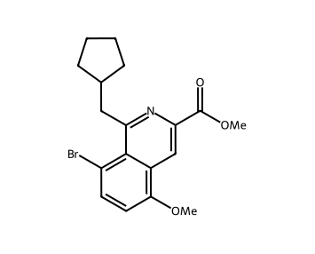 COC(=O)c1cc2c(OC)ccc(Br)c2c(CC2CCCC2)n1